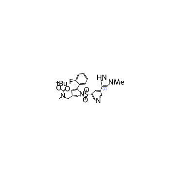 CN/C=C(\C=N)c1cncc(S(=O)(=O)n2cc(CN(C)C(=O)OC(C)(C)C)cc2-c2ccccc2F)c1